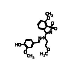 COCCN(N=Cc1ccc(O)c(OC)c1)C1=NS(=O)(=O)c2c(OC)cccc21